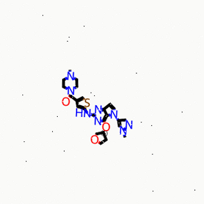 CN1CCN(C(=O)c2csc(Nc3nc(O[C@H]4CCOC4)c4c(ccn4-c4cnn(C)c4)n3)c2)CC1